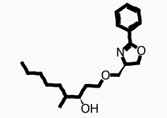 CCCCCC(C)[C@@H](O)CCOC[C@@H]1COC(c2ccccc2)=N1